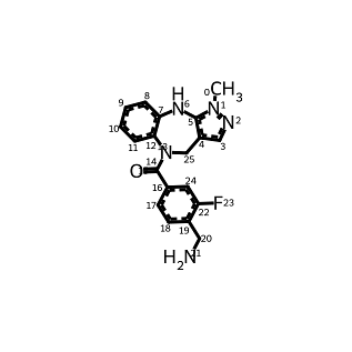 Cn1ncc2c1Nc1ccccc1N(C(=O)c1ccc(CN)c(F)c1)C2